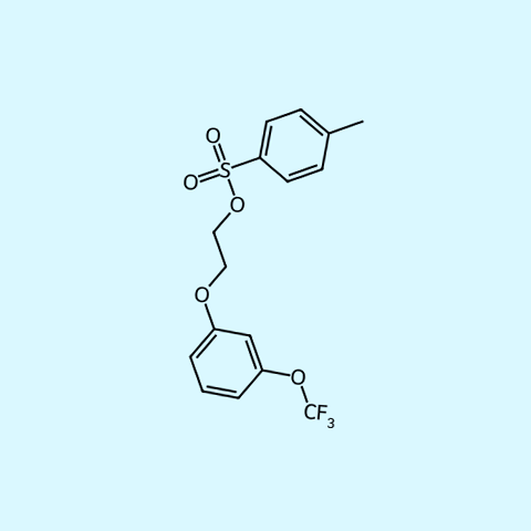 Cc1ccc(S(=O)(=O)OCCOc2cccc(OC(F)(F)F)c2)cc1